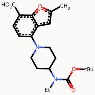 CCN(C(=O)OC(C)(C)C)C1CCN(c2ccc(C(=O)O)c3oc(C)cc23)CC1